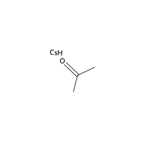 CC(C)=O.[CsH]